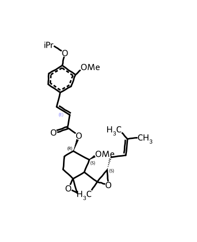 COc1cc(/C=C/C(=O)O[C@@H]2CCC3(CO3)C(C3(C)O[C@H]3CC=C(C)C)[C@@H]2OC)ccc1OC(C)C